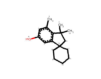 Cc1cc(O)cc2c1C(C)(C)CC21CCCCC1